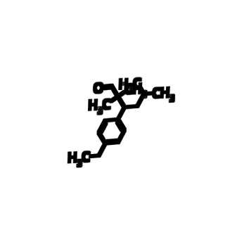 CCc1ccc(C(CC(C)C)C(C)(C)C=O)cc1